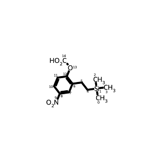 C[Si](C)(C)CCc1cc([N+](=O)[O-])ccc1OC(=O)O